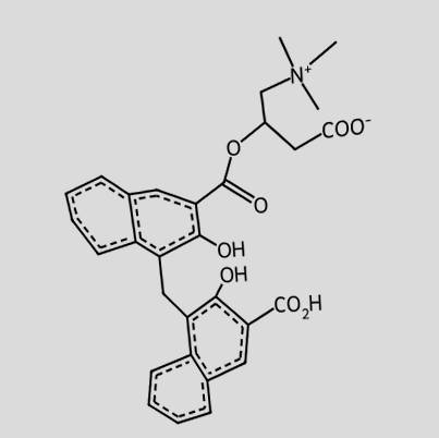 C[N+](C)(C)CC(CC(=O)[O-])OC(=O)c1cc2ccccc2c(Cc2c(O)c(C(=O)O)cc3ccccc23)c1O